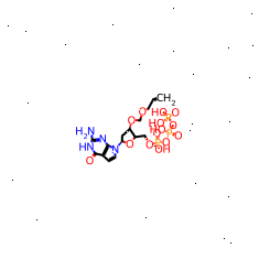 C=CCOCO[C@@H]1C[C@H](n2ccc3c(=O)[nH]c(N)nc32)OC1COP(=O)(O)OP(=O)(O)OP(=O)(O)O